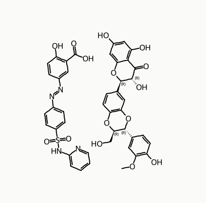 COc1cc([C@H]2Oc3cc([C@H]4Oc5cc(O)cc(O)c5C(=O)[C@@H]4O)ccc3O[C@@H]2CO)ccc1O.O=C(O)c1cc(N=Nc2ccc(S(=O)(=O)Nc3ccccn3)cc2)ccc1O